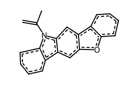 C=C(C)n1c2ccccc2c2cc3oc4ccccc4c3cc21